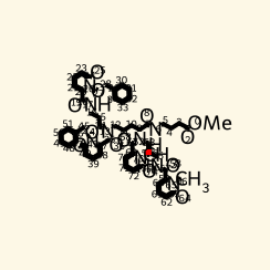 COC(=O)CCCNC(=O)C(CCCN(CCCNC(=O)c1cccc(=O)n1OCc1ccccc1)C(=O)c1cccc(=O)n1OCc1ccccc1)N(CCCNC(=O)c1cccc(=O)n1C)C(=O)c1cccc(=O)n1C